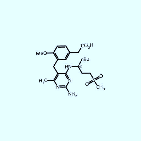 CCCC[C@@H](CCS(C)(=O)=O)Nc1nc(N)nc(C)c1Cc1cc(CC(=O)O)ccc1OC